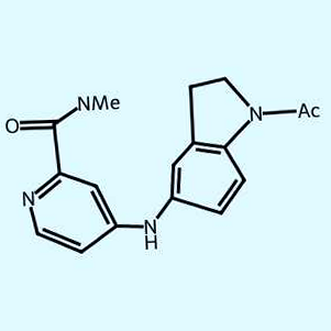 CNC(=O)c1cc(Nc2ccc3c(c2)CCN3C(C)=O)ccn1